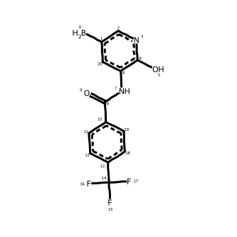 Bc1cnc(O)c(NC(=O)c2ccc(C(F)(F)F)cc2)c1